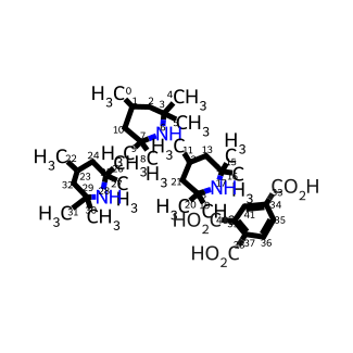 CC1CC(C)(C)NC(C)(C)C1.CC1CC(C)(C)NC(C)(C)C1.CC1CC(C)(C)NC(C)(C)C1.O=C(O)c1ccc(C(=O)O)c(C(=O)O)c1